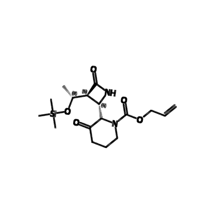 C=CCOC(=O)N1CCCC(=O)C1[C@H]1NC(=O)[C@@H]1[C@@H](C)O[Si](C)(C)C